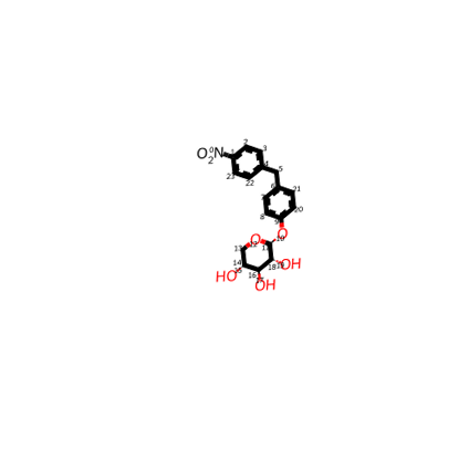 O=[N+]([O-])c1ccc(Cc2ccc(O[C@H]3OC[C@@H](O)[C@H](O)[C@H]3O)cc2)cc1